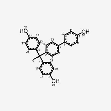 CC(c1c[c]c(-c2ccc(O)cc2)cc1)(c1ccc(O)cc1)c1ccc(O)cc1